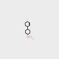 BC1CCC(C2C=C[C@@H](C)CC2)CC1